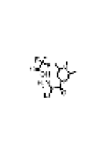 CCC(N)C(=O)N1CC(C)N(C)C(C)C1.O=C(O)C(F)(F)F